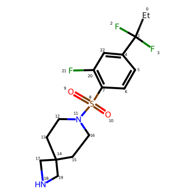 CCC(F)(F)c1ccc(S(=O)(=O)N2CCC3(CC2)CNC3)c(F)c1